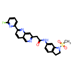 CS(=O)(=O)N1CCc2ccc(NC(=O)Cc3cc4nc(-c5cccc(F)n5)ccc4cn3)cc21